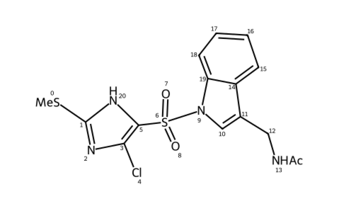 CSc1nc(Cl)c(S(=O)(=O)n2cc(CNC(C)=O)c3ccccc32)[nH]1